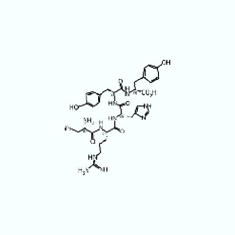 CC(C)C[C@H](N)C(=O)N[C@@H](CCCNC(=N)N)C(=O)N[C@@H](Cc1c[nH]cn1)C(=O)N[C@@H](Cc1ccc(O)cc1)C(=O)N[C@@H](Cc1ccc(O)cc1)C(=O)O